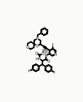 CC(C)(C)OC(=O)NC(C(=O)Nc1cncc(F)c1C#CC1CN(Cc2ccccc2)CC2(CCOCC2)O1)C(c1ccc(F)cc1)c1ccc(F)cc1